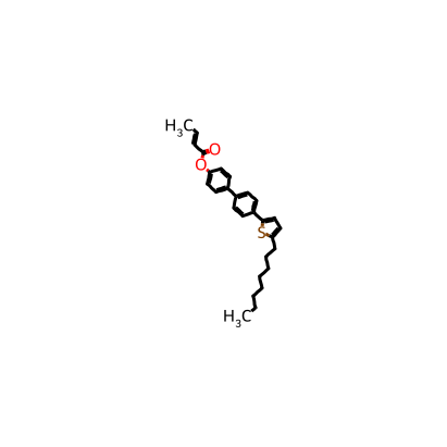 CC=CC(=O)Oc1ccc(-c2ccc(-c3ccc(CCCCCCCC)s3)cc2)cc1